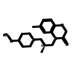 CCCOC1CCN(C[C@@H](C)CN2C(=O)COc3ccc(C)cc32)CC1